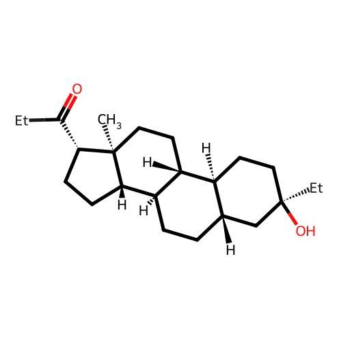 CCC(=O)[C@H]1CC[C@H]2[C@@H]3CC[C@H]4C[C@@](O)(CC)CC[C@@H]4[C@H]3CC[C@]12C